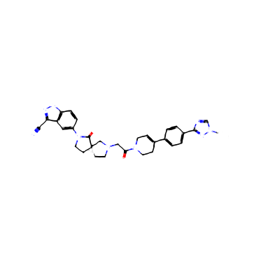 Cn1cnc(-c2ccc(C3=CCN(C(=O)CN4CC[C@]5(CCN(c6ccc7[nH]nc(C#N)c7c6)C5=O)C4)CC3)cc2)n1